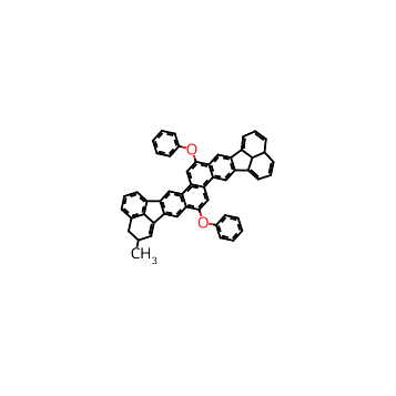 CC1C=C2c3cc4c(Oc5ccccc5)cc5c6cc7c(cc6c(Oc6ccccc6)cc5c4cc3-c3cccc(c32)C1)C1=CC=CC2C=CC=C7C12